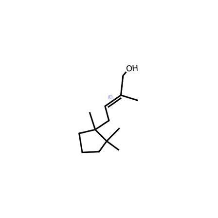 C/C(=C\CC1(C)CCCC1(C)C)CO